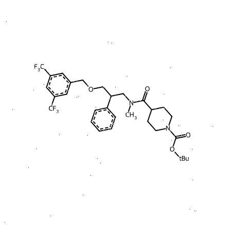 CN(CC(COCc1cc(C(F)(F)F)cc(C(F)(F)F)c1)c1ccccc1)C(=O)C1CCN(C(=O)OC(C)(C)C)CC1